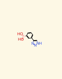 OB(O)c1cccc(-c2c[nH]nn2)c1